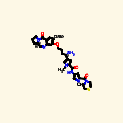 COc1cc2c(cc1OCCC[C@H](N)c1cc(C(=O)Nc3cc(C(=O)N4CCSCC4)n(C)c3)n(C)c1)N=C[C@@H]1CCCN1C2=O